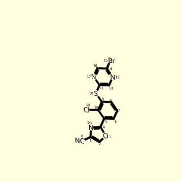 N#Cc1coc(-c2cccc(Sc3cnc(Br)cn3)c2Cl)n1